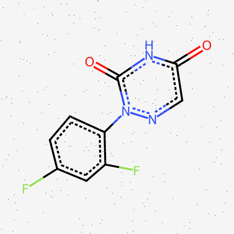 O=c1cnn(-c2ccc(F)cc2F)c(=O)[nH]1